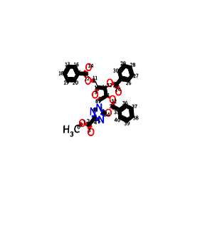 COC(=O)c1ncn([C@@H]2O[C@H](COC(=O)c3ccccc3)[C@@H](OC(=O)c3ccccc3)[C@H]2OC(=O)c2ccccc2)n1